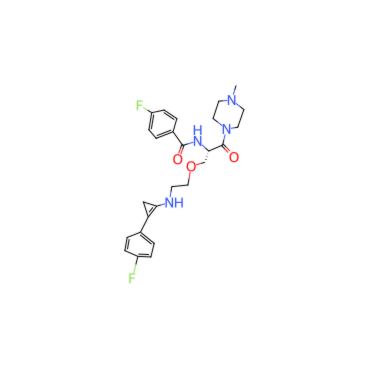 CN1CCN(C(=O)[C@H](COCCNC2=C(c3ccc(F)cc3)C2)NC(=O)c2ccc(F)cc2)CC1